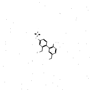 COc1ccc(CC(=O)O)cc1-c1ccc(NS(C)(=O)=O)cc1CNC(C)=O